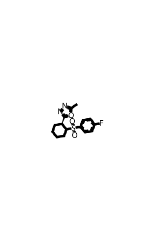 Cc1nnc([C@@H]2CCCCC2S(=O)(=O)c2ccc(F)cc2)o1